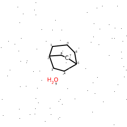 C1CC2CCC(C1)CC2.O